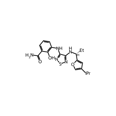 CC[C@@H](Nc1nsnc1Nc1cccc(C(N)=O)c1O)c1cc(C(C)C)co1